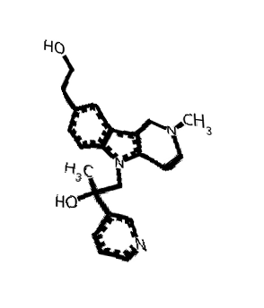 CN1CCc2c(c3cc(CCO)ccc3n2CC(C)(O)c2cccnc2)C1